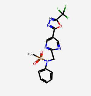 CS(=O)(=O)N(Cc1ncc(-c2nnc(C(F)(F)F)o2)cn1)c1ccccc1